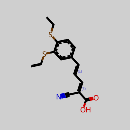 CCSc1ccc(/C=C/C=C(\C#N)C(=O)O)cc1SCC